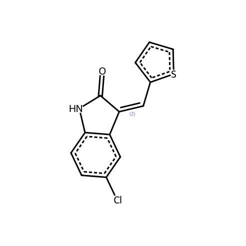 O=C1Nc2ccc(Cl)cc2/C1=C/c1cccs1